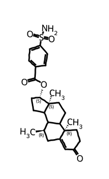 C[C@@H]1CC2=CC(=O)CC[C@]2(C)C2CC[C@@]3(C)C(CC[C@@H]3OC(=O)c3ccc(S(N)(=O)=O)cc3)C21